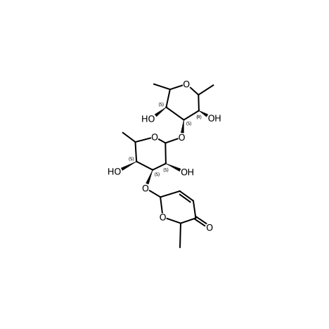 CC1OC(O[C@@H]2[C@H](O)C(O[C@@H]3[C@H](O)C(C)OC(C)[C@@H]3O)OC(C)[C@@H]2O)C=CC1=O